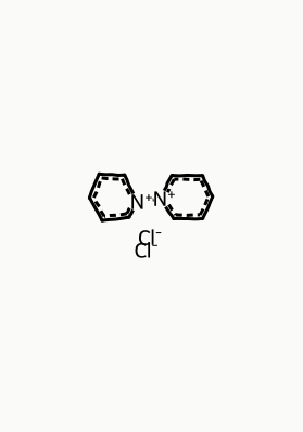 [Cl-].[Cl-].c1cc[n+](-[n+]2ccccc2)cc1